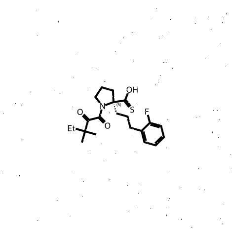 CCC(C)(C)C(=O)C(=O)N1CCC[C@@]1(CCCc1ccccc1F)C(O)=S